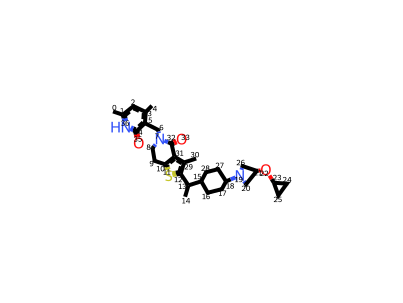 Cc1cc(C)c(CN2CCc3sc(C(C)C4CCC(N5CC(OC6CC6)C5)CC4)c(C)c3C2=O)c(=O)[nH]1